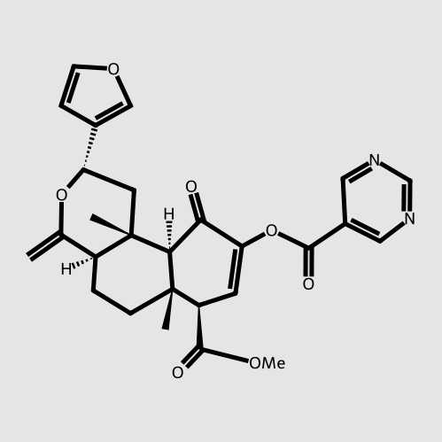 C=C1O[C@H](c2ccoc2)C[C@]2(C)[C@H]3C(=O)C(OC(=O)c4cncnc4)=C[C@@H](C(=O)OC)[C@]3(C)CC[C@@H]12